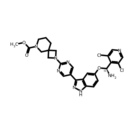 COC(=O)N1CCCC2(C1)CN(c1ncc(-c3n[nH]c4ccc(O[C@H](N)c5c(Cl)cncc5Cl)cc34)cn1)C2